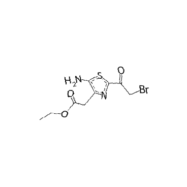 CCOC(=O)Cc1nc(C(=O)CBr)sc1N